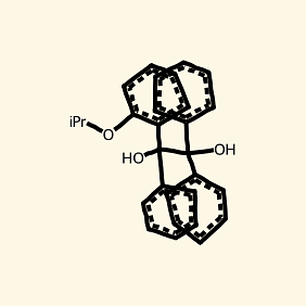 CC(C)Oc1ccccc1C(O)(c1ccccc1)C(O)(c1ccccc1)c1ccccc1